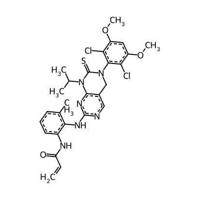 C=CC(=O)Nc1cccc(C)c1Nc1ncc2c(n1)N(C(C)C)C(=S)N(c1c(Cl)c(OC)cc(OC)c1Cl)C2